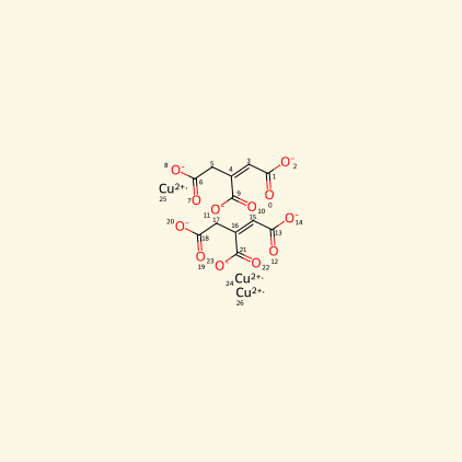 O=C([O-])C=C(CC(=O)[O-])C(=O)[O-].O=C([O-])C=C(CC(=O)[O-])C(=O)[O-].[Cu+2].[Cu+2].[Cu+2]